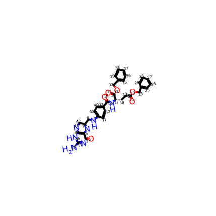 Nc1nc(=O)c2nc(CNc3ccc(C(=O)N[C@@H](CCC(=O)OCc4ccccc4)C(=O)OCc4ccccc4)cc3)cnc2[nH]1